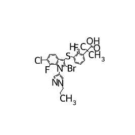 CCCn1cc(-n2c(Br)c(Sc3cccc(C(C)(C)C(=O)O)c3F)c3ccc(Cl)c(F)c32)cn1